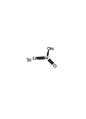 [O]=[V](=[O])[OH].[Sc]